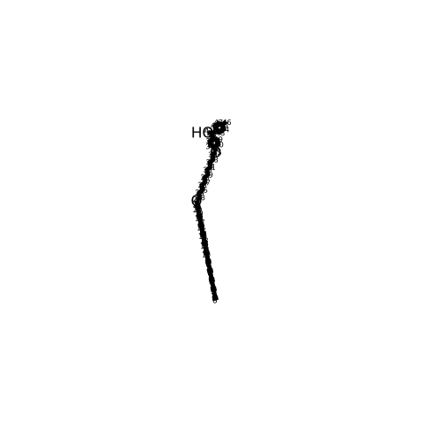 C#CC#CC#CC#CC#CC#CC#CC#CC#CC#CC#COCCCCCCCCCCCCOc1ccc(C(O)c2ccc(C)cc2)cc1